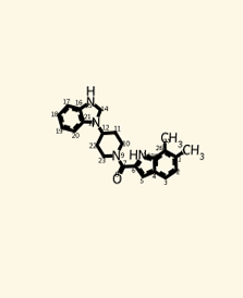 Cc1ccc2cc(C(=O)N3CCC(N4[CH]Nc5ccccc54)CC3)[nH]c2c1C